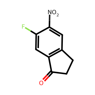 O=C1CCc2cc([N+](=O)[O-])c(F)cc21